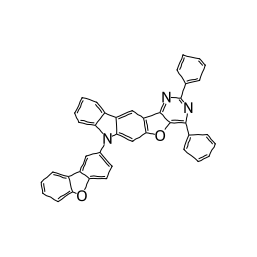 c1ccc(-c2nc(-c3ccccc3)c3oc4cc5c(cc4c3n2)c2ccccc2n5-c2ccc3oc4ccccc4c3c2)cc1